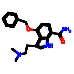 CN(C)CCc1c[nH]c2c(C(N)=O)ccc(OCc3ccccc3)c12